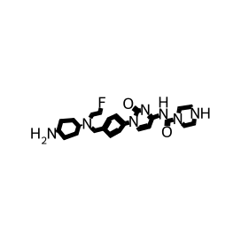 N[C@H]1CC[C@H](N(CCF)Cc2ccc(-n3ccc(NC(=O)N4CCNCC4)nc3=O)cc2)CC1